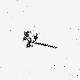 CCCCCCCCCCCCCCCCCCOC[C@H](COP(=O)(OC[C@@H](OC#N)[C@H]1OC(C)(C)O[C@H]1c1ccc2c(N)ncnn12)Oc1ccccc1Cl)OCc1ccc(C#N)c(Cl)c1